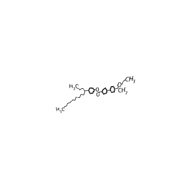 CCCCCCCCCCCC(CCC)c1ccc(OC(=O)c2ccc(-c3ccc(C(C)OCCC)cc3)cc2)cc1